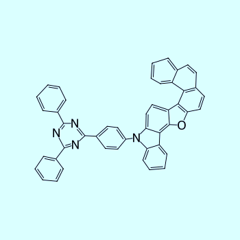 c1ccc(-c2nc(-c3ccccc3)nc(-c3ccc(-n4c5ccccc5c5c6oc7ccc8ccc9ccccc9c8c7c6ccc54)cc3)n2)cc1